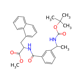 COC(=O)C(Cc1cccc2ccccc12)NC(=O)c1cccc(C(C)NC(=O)OC(C)(C)C)c1